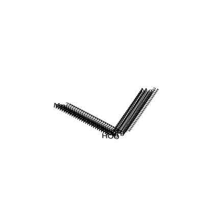 O=C(O)O.[Mg+2].[Mg+2].[Mg+2].[Mg+2].[Mg+2].[Mg+2].[Mg+2].[Mg+2].[Mg+2].[Mg+2].[Mg+2].[Mg+2].[Mg+2].[Mg+2].[Mg+2].[Mg+2].[Mg+2].[Mg+2].[Mg+2].[Mg+2].[Mg+2].[Mg+2].[Mg+2].[Mg+2].[Mg+2].[Mg+2].[Mg+2].[Mg+2].[Mg+2].[Mg+2].[Mg+2].[Mg+2].[Mg+2].[Mg+2].[Mg+2].[Mg+2].[Mg+2].[Mg+2].[Mg+2].[Mg+2].[Mg+2].[Mg+2].[Mg+2].[Mg+2].[Mg+2].[Mg+2].[Mg+2].[Mg+2].[Mg+2].[Mg+2].[Mg+2].[Mg+2].[Mg+2].[Mg+2].[Mg+2]